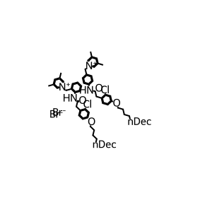 CCCCCCCCCCCCCCOc1ccc(CC(=O)Nc2ccc(C[n+]3cc(C)cc(C)c3)cc2)c(Cl)c1.CCCCCCCCCCCCCCOc1ccc(CC(=O)Nc2ccccc2C[n+]2cc(C)cc(C)c2)c(Cl)c1.[Br-].[Br-]